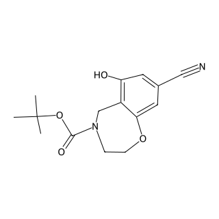 CC(C)(C)OC(=O)N1CCOc2cc(C#N)cc(O)c2C1